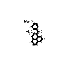 COc1ccc(C(=O)C2C(C)=Cc3cccc4cccc2c34)cc1